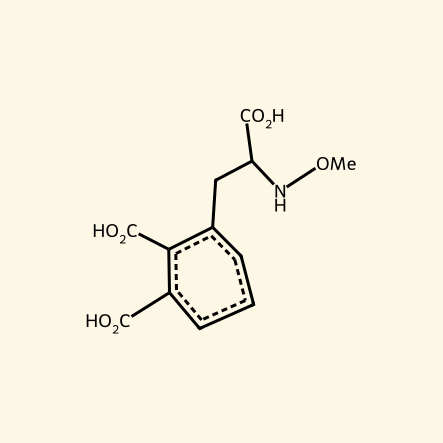 CONC(Cc1cccc(C(=O)O)c1C(=O)O)C(=O)O